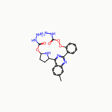 Cc1ccc2c(C3CCC(OC(=O)NN)N3)nc(-c3ccccc3OOC(=O)NN)nc2c1